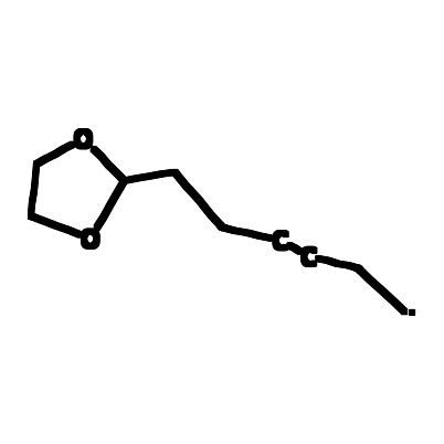 [CH2]CCCCCC1OCCO1